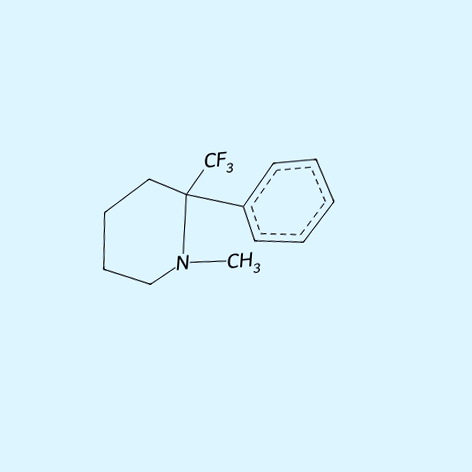 CN1CCCCC1(c1ccccc1)C(F)(F)F